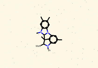 CNC1N(C(C)C)c2cc(C)cc3c2C1(C)C1N(C)c2cc(C)c(C)cc2N31